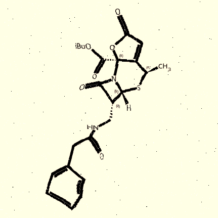 CC(C)COC(=O)[C@]12OC(=O)C=C1[C@@H](C)S[C@@H]1[C@H](CNC(=O)Cc3ccccc3)C(=O)N12